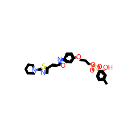 Cc1ccc(S(=O)(=O)OCCCOc2ccc3nc(C=Cc4cnc(N5CCCCC5)s4)oc3c2)c(O)c1